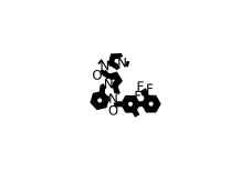 Cc1cc(C(=O)N2Cc3ccc(C(=O)N(C)C4CCN(C)C4)n3Cc3ccccc32)ccc1-c1ccccc1C(F)(F)F